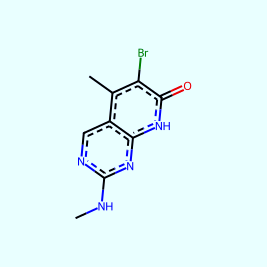 CNc1ncc2c(C)c(Br)c(=O)[nH]c2n1